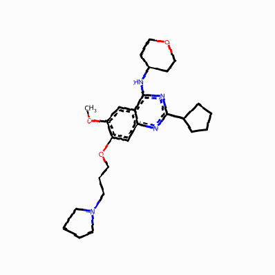 COc1cc2c(NC3CCOCC3)nc(C3CCCC3)nc2cc1OCCCN1CCCC1